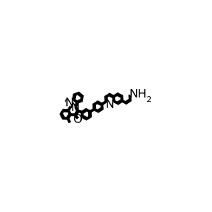 Cc1cccc2c1-c1oc3ccc(-c4ccc(-c5ccc6ccc(/C=C\CN)cc6n5)cc4)cc3c1N1c3ccccc3N(C)C21